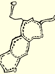 O=Cc1cc(=O)oc2cc3occc3cc12